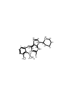 COc1c(Cl)cccc1Nc1nc(F)nc2c1ncn2C1CCCCO1